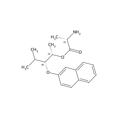 CC(C)[C@@H](Oc1ccc2ccccc2c1)[C@H](C)OC(=O)[C@H](C)N